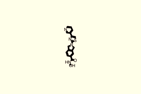 O=C(NO)c1ccc2c(c1)CN(c1nc(-c3cccnc3)cs1)C2